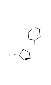 CC(C)[C@@H]1C=C[C@@H](NC2CCOCC2)C1